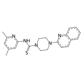 Cc1cc(C)nc(NC(=S)N2CCN(c3ccc4ccccc4n3)CC2)c1